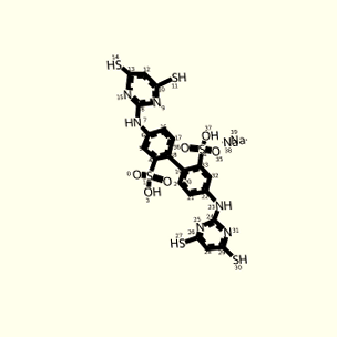 O=S(=O)(O)c1cc(Nc2nc(S)cc(S)n2)ccc1-c1ccc(Nc2nc(S)cc(S)n2)cc1S(=O)(=O)O.[Na].[Na]